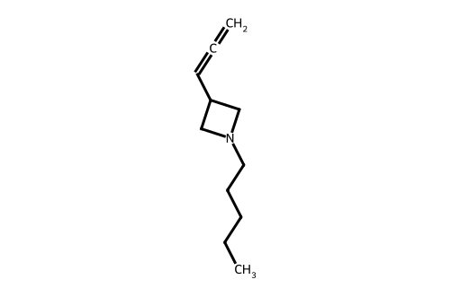 C=C=CC1CN(CCCCC)C1